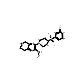 CC(C)Nc1nc2c(nc1N1CCC(S(=O)(=O)c3cccc(F)c3)CC1)CNCC2